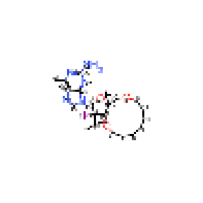 CC[C@@]1(I)[C@@H]2OCCCCCCCOC[C@H]2O[C@H]1n1cnc2c(C)nc(N)nc21